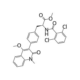 COC(=O)[C@H](Cc1ccc(-c2c(OC)c3ccccc3n(C)c2=O)cc1)NC(=O)c1c(Cl)cccc1Cl